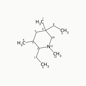 CCC1C(C)CC(C)(CC)CN1C